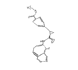 COC(=O)c1ccc(C2C[C@H]2C(=O)Nc2ccc3cnccc3c2F)cc1